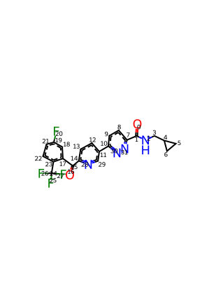 O=C(NCC1CC1)c1ccc(-c2ccc(C(=O)c3cc(F)ccc3C(F)(F)F)nc2)nn1